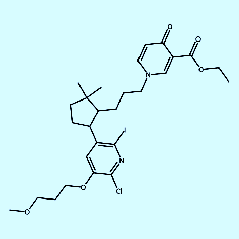 CCOC(=O)c1cn(CCCC2C(c3cc(OCCCOC)c(Cl)nc3I)CCC2(C)C)ccc1=O